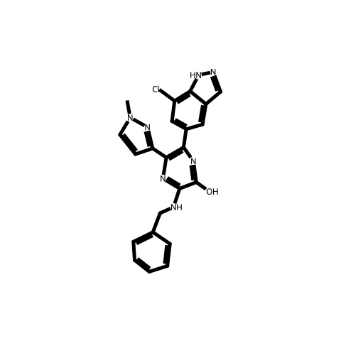 Cn1ccc(-c2nc(NCc3ccccc3)c(O)nc2-c2cc(Cl)c3[nH]ncc3c2)n1